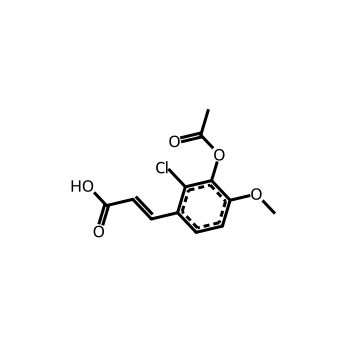 COc1ccc(/C=C/C(=O)O)c(Cl)c1OC(C)=O